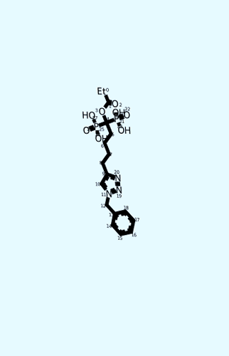 CCC(=O)OC(CCCCc1cn(Cc2ccccc2)nn1)(P(=O)(O)O)P(=O)(O)O